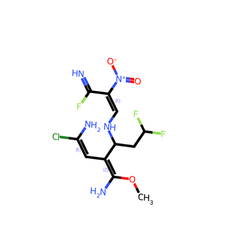 CO/C(N)=C(/C=C(\N)Cl)C(CC(F)F)N/C=C(\C(=N)F)[N+](=O)[O-]